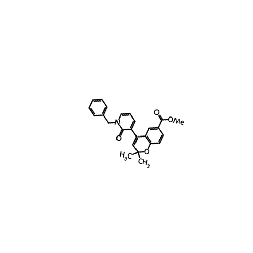 COC(=O)c1ccc2c(c1)C(c1cccn(Cc3ccccc3)c1=O)=CC(C)(C)O2